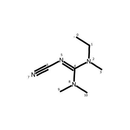 [CH2]CN(C)C(=NC#N)N(C)C